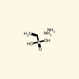 C=CP(=O)(O)O.N.N